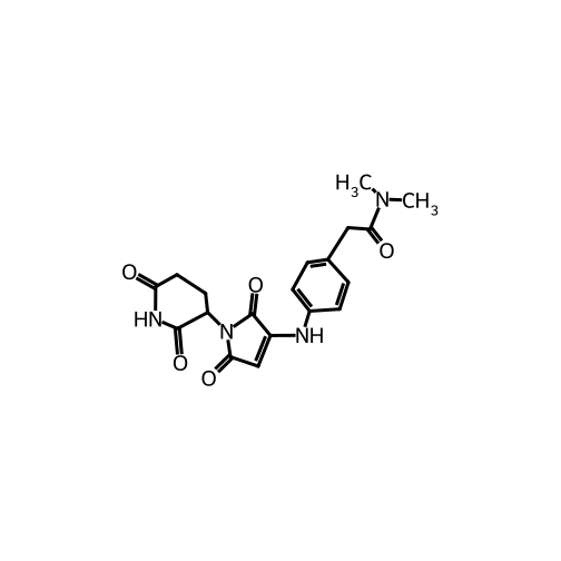 CN(C)C(=O)Cc1ccc(NC2=CC(=O)N(C3CCC(=O)NC3=O)C2=O)cc1